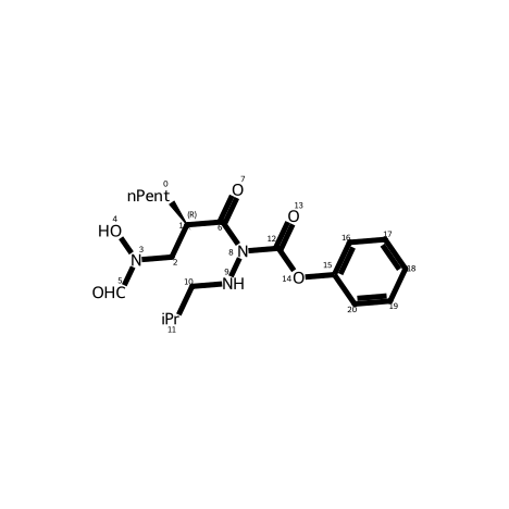 CCCCC[C@H](CN(O)C=O)C(=O)N(NCC(C)C)C(=O)Oc1ccccc1